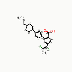 CCCC1CCC(c2ccc(-c3cc(C(F)=C(C)F)ccc3C(=O)O)cc2)CC1